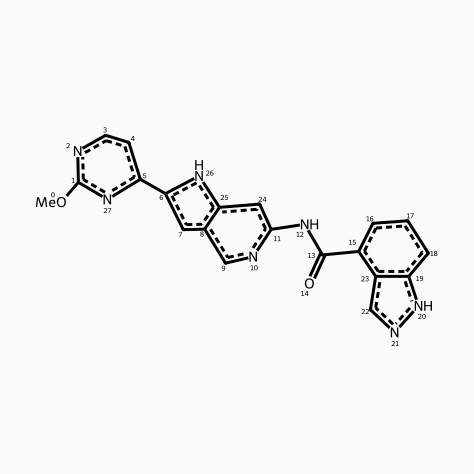 COc1nccc(-c2cc3cnc(NC(=O)c4cccc5[nH]ncc45)cc3[nH]2)n1